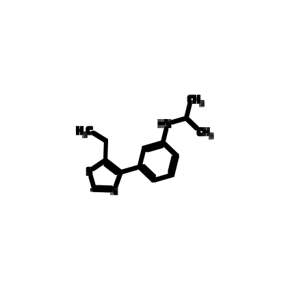 CCc1s[c]nc1-c1cccc(NC(C)C)c1